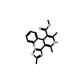 COC(=O)C1=C(C)NC(C)=C(c2noc(C)n2)C1c1ccccc1Cl